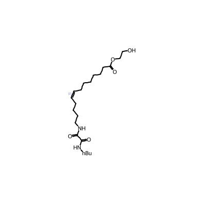 CCCCNC(=O)C(=O)NCCCC/C=C\CCCCCCC(=O)OCCO